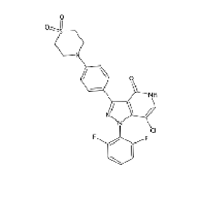 O=c1[nH]cc(Cl)c2c1c(-c1ccc(N3CCS(=O)(=O)CC3)cc1)nn2-c1c(F)cccc1F